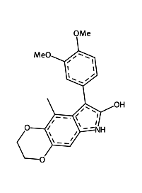 COc1ccc(-c2c(O)[nH]c3cc4c(c(C)c23)OCCO4)cc1OC